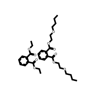 CCCCOCCOC(=O)c1ccccc1C(=O)OCCOCCCC.CCOC(=O)c1ccccc1C(=O)OCC